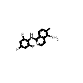 Cc1ccc2c(Nc3c(F)cc(F)cc3F)nccc2c1N